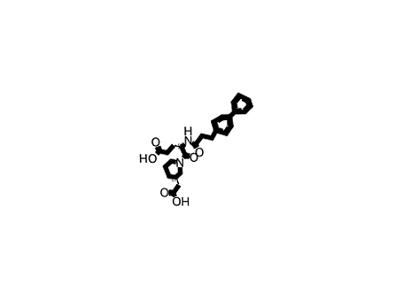 O=C(O)CC[C@H](NC(=O)CCc1ccc(-c2ccccc2)cc1)C(=O)N1CCC[C@@H](CC(=O)O)C1